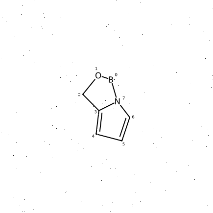 [B]1OCc2cccn21